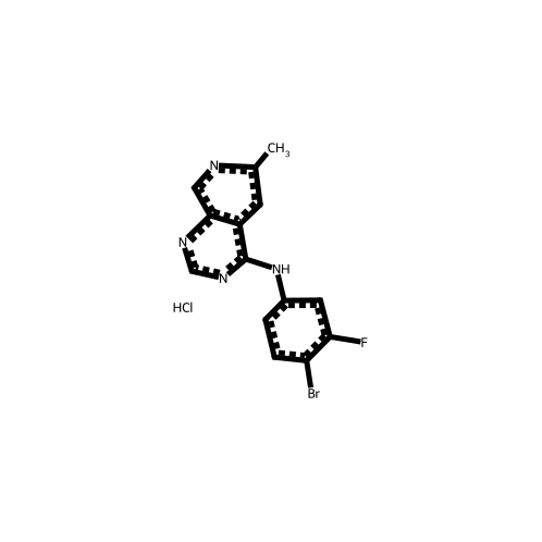 Cc1cc2c(Nc3ccc(Br)c(F)c3)ncnc2cn1.Cl